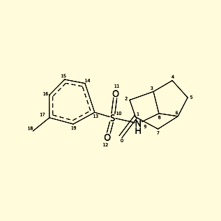 C=C1CC2CCC(C1)C2NS(=O)(=O)c1cccc(C)c1